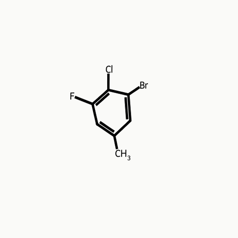 Cc1cc(F)c(Cl)c(Br)c1